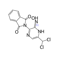 O=C1c2ccccc2C(=O)N1c1ncc(C(Cl)Cl)[nH]/c1=N/O